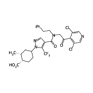 CC(C)CCN(CC(=O)c1c(Cl)cncc1Cl)C(=O)c1cnn(C2CC[C@H](C(=O)O)[C@H](C)C2)c1C(F)(F)F